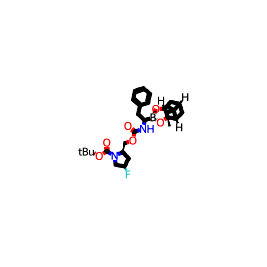 CC(C)(C)OC(=O)N1C[C@H](F)C[C@@H]1COC(=O)NC(Cc1ccccc1)B1O[C@@H]2C[C@@H]3C[C@@H](C3(C)C)[C@]2(C)O1